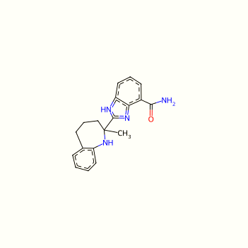 CC1(c2nc3c(C(N)=O)cccc3[nH]2)CCCc2ccccc2N1